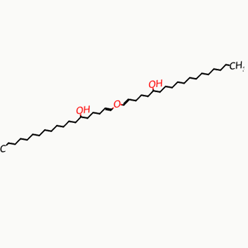 CCCCCCCCCCCCCC(O)CCCC=COC=CCCCC(O)CCCCCCCCCCCCC